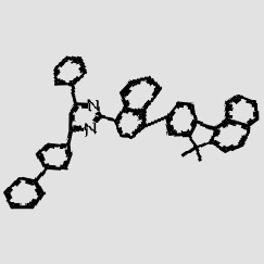 CC1(C)c2cc(-c3ccc(-c4nc(-c5ccccc5)cc(-c5ccc(-c6ccccc6)cc5)n4)c4ccccc34)ccc2-c2c1ccc1ccccc21